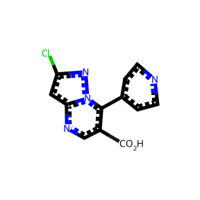 O=C(O)c1cnc2cc(Cl)nn2c1-c1ccncc1